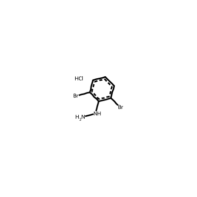 Cl.NNc1c(Br)cccc1Br